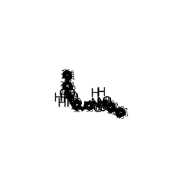 O=C(Nc1ccc(Cc2ccc(NC(=O)NS(=O)(=O)c3ccc(-c4ccccc4)cc3)cc2)cc1)NS(=O)(=O)c1ccc(-c2ccccc2)cc1